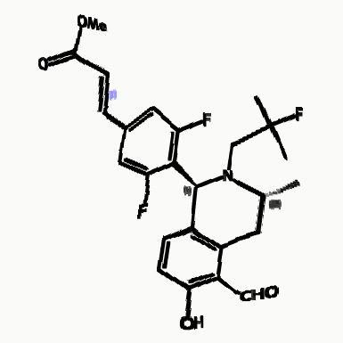 COC(=O)/C=C/c1cc(F)c([C@@H]2c3ccc(O)c(C=O)c3C[C@@H](C)N2CC(C)(C)F)c(F)c1